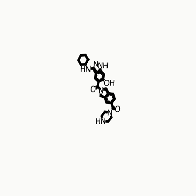 O=C(c1ccc2c(c1)CN(C(=O)c1cc3c(NC4CCCCC4)n[nH]c3cc1O)C2)N1CCNCC1